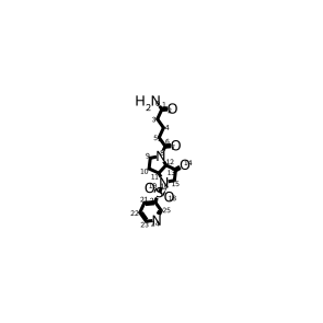 NC(=O)CC[CH]C(=O)N1CCC2C1C(=O)CN2S(=O)(=O)c1cccnc1